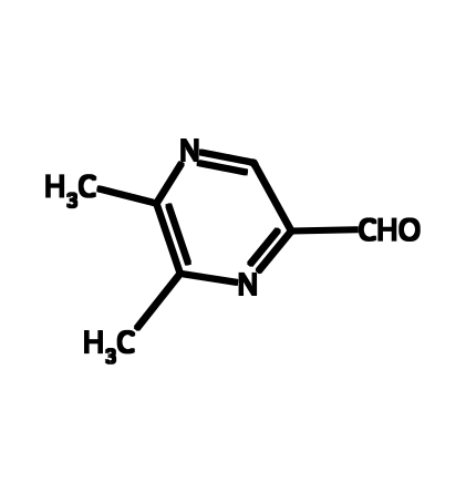 Cc1ncc(C=O)nc1C